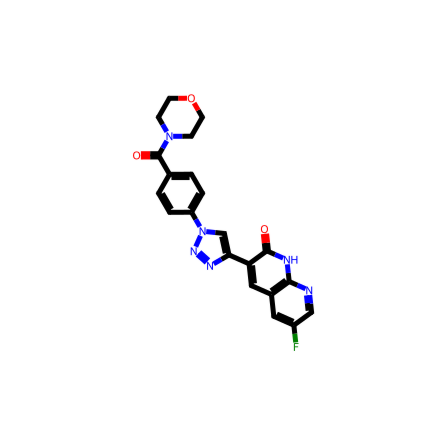 O=C(c1ccc(-n2cc(-c3cc4cc(F)cnc4[nH]c3=O)nn2)cc1)N1CCOCC1